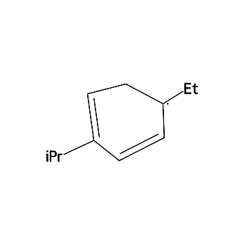 CC[C]1C=CC(C(C)C)=CC1